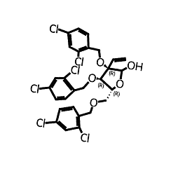 C=C[C@]1(OCc2ccc(Cl)cc2Cl)C(O)O[C@H](COCc2ccc(Cl)cc2Cl)[C@H]1OCc1ccc(Cl)cc1Cl